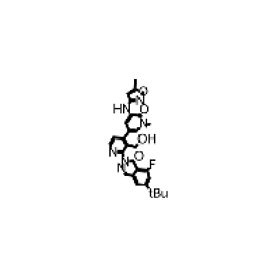 Cc1cc(Nc2cc(-c3ccnc(-n4ncc5cc(C(C)(C)C)cc(F)c5c4=O)c3CO)cn(C)c2=O)no1